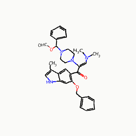 Cc1c[nH]c2cc(OCc3ccccc3)c(C(=O)C(=CN(C)C)N3CCN(C(OC=O)c4ccccc4)CC3)cc12